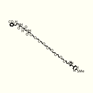 CSc1ncc(-c2cn(CCOCCOCCOCCOCCOCCOCCOCCOCCOCC(=O)NCC(=O)NCC(=O)N[C@@H](Cc3ccccc3)C(=O)O)nn2)cn1